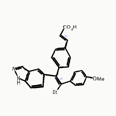 CC/C(=C(/c1ccc(/C=C/C(=O)O)cc1)c1ccc2[nH]ncc2c1)c1ccc(OC)cc1